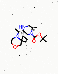 CC([C@H]1CN(C(=O)OC(C)(C)C)[C@H](C)CN1)N1CCOCC12CCC2